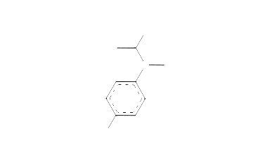 CC(C(=O)O)N(C)c1ccc(C#N)cc1